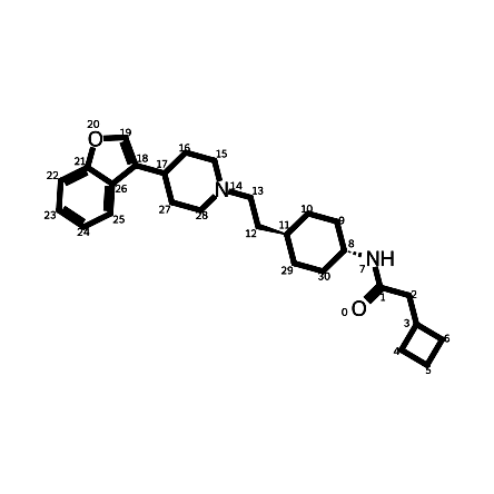 O=C(CC1CCC1)N[C@H]1CC[C@H](CCN2CCC(c3coc4ccccc34)CC2)CC1